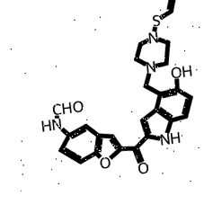 C=CSN1CCN(Cc2c(O)ccc3[nH]c(C(=O)c4cc5cc(NC=O)ccc5o4)cc23)CC1